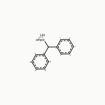 CCCCC[C](c1ccccc1)c1ccccc1.[LiH]